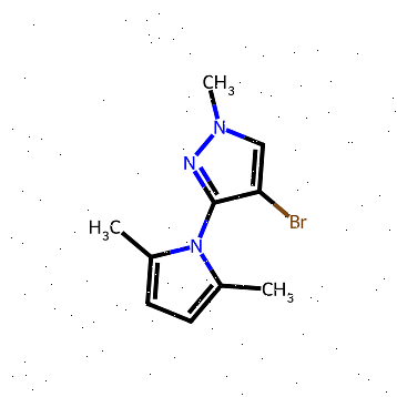 Cc1ccc(C)n1-c1nn(C)cc1Br